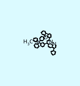 Cc1cccc([Si](c2ccccc2)(c2ccccc2)c2cccc(-c3cc(-c4cccc5c4oc4ccccc45)nc4c3ccc3c(-c5ccccc5)ccnc34)c2)c1